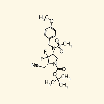 COc1ccc(CN([C@@H]2CN(C(=O)OC(C)(C)C)[C@H](CC#N)C2(F)F)S(C)(=O)=O)cc1